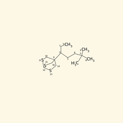 CCC(CCC(C)(C)C)C12CSC(SC1)SC2